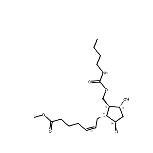 CCCCNC(=O)OC[C@@H]1[C@@H](C/C=C\CCCC(=O)OC)[C@H](Cl)C[C@H]1O